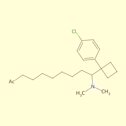 CC(=O)CCCCCCCC(N(C)C)C1(c2ccc(Cl)cc2)CCC1